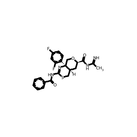 CC(=N)NC(=O)[C@H]1C[C@H]2CSC(NC(=O)c3ccccc3)=N[C@@]2(c2ccc(F)cc2F)CO1